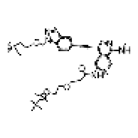 CNc1ncc(C#Cc2ccc3c(c2)nnn3COCC[Si](C)(C)C)c2cc(NC(=O)CCOCCO[Si](C)(C)C(C)(C)C)ncc12